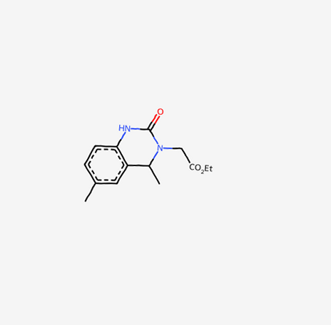 CCOC(=O)CN1C(=O)Nc2ccc(C)cc2C1C